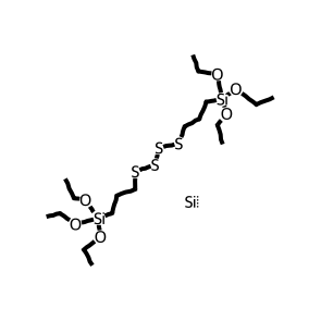 CCO[Si](CCCSSSSCCC[Si](OCC)(OCC)OCC)(OCC)OCC.[Si]